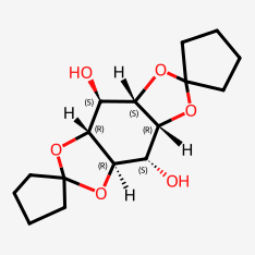 O[C@@H]1[C@H]2OC3(CCCC3)O[C@@H]2[C@@H](O)[C@@H]2OC3(CCCC3)O[C@H]12